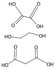 O=C(O)C(=O)O.O=C(O)CC(=O)O.OCCO